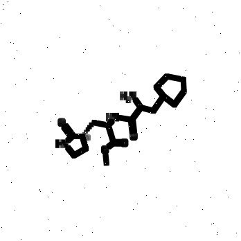 COC(=O)C(C[C@@H]1CCNC1=O)NC(=O)C(N)CC1CCCCC1